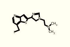 CN(C)CCN1C=NC(c2cc3nccc(CI)c3s2)C1